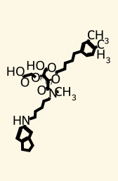 Cc1ccc(CCCCCO[C@@H](C(=O)N(C)CCCCCNc2ccc3c(c2)CCC3)[C@@H](OCC(=O)O)C(=O)O)cc1C